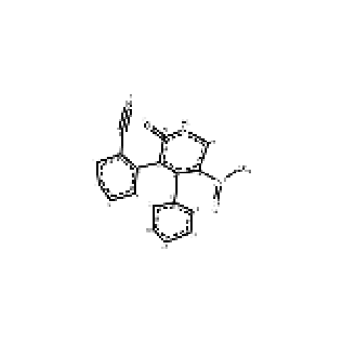 N#Cc1ccccc1-c1c(-c2ccccc2)c([N+](=O)[O-])c[nH]c1=O